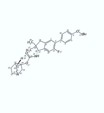 CC(C)(C)Oc1ccc(-c2cc3c(cc2F)[C@H](NC(=O)O[C@@H]2CN4CCC2CC4)C(C)(C)C3)cc1